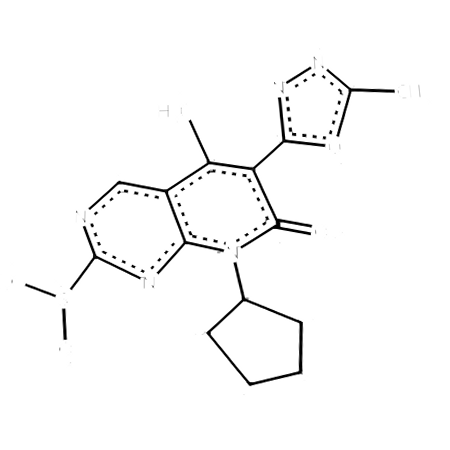 Cc1nnc(-c2c(C)c3cnc([S+](C)[O-])nc3n(C3CCCC3)c2=O)o1